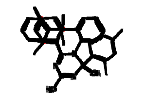 Cc1ccc(C2=NC(O)=NC(O)(c3ccc(C)cc3C)N2c2ccccc2C(C)(C)c2ccccc2)c(C)c1